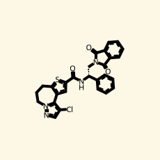 O=C(N[C@H](CN1C(=O)c2ccccc2C1=O)c1ccccc1)c1cc2c(s1)CCCn1ncc(Cl)c1-2